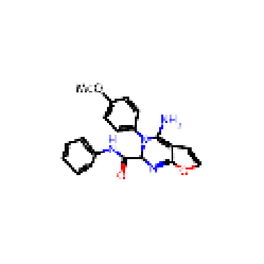 COc1ccc(N2C(N)=c3ccoc3=NC2C(=O)Nc2ccccc2)cc1